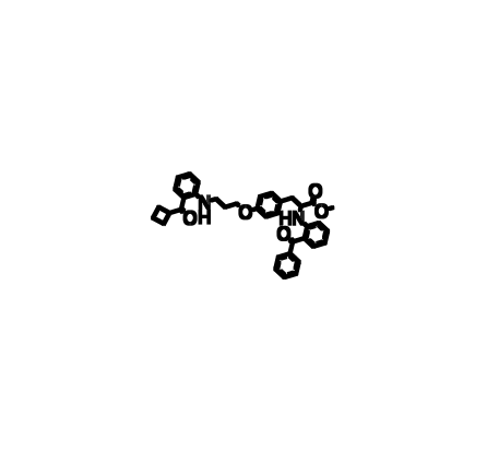 COC(=O)C(Cc1ccc(OCCCNc2ccccc2C(=O)C2CCC2)cc1)Nc1ccccc1C(=O)c1ccccc1